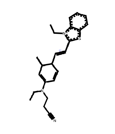 CCN(CCC#N)C1=CC(C)C(/C=C/c2sc3ccccc3[n+]2CC)C=C1